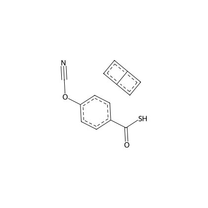 N#COc1ccc(C(=O)S)cc1.c1cc2ccc1-2